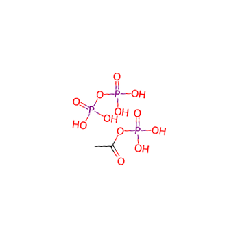 CC(=O)OP(=O)(O)O.O=P(O)(O)OP(=O)(O)O